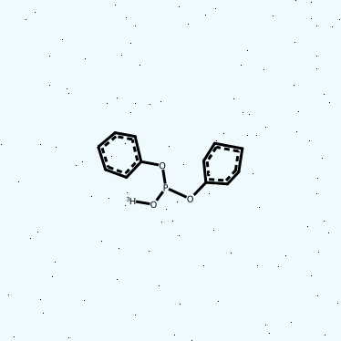 [3H]OP(Oc1ccccc1)Oc1ccccc1